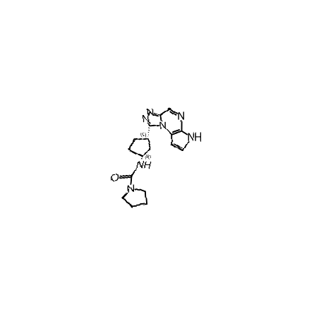 O=C(N[C@@H]1CC[C@H](c2nnc3cnc4[nH]ccc4n23)C1)N1CCCC1